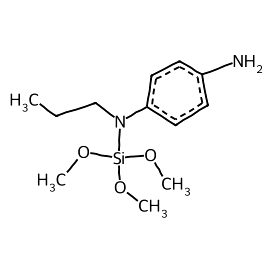 CCCN(c1ccc(N)cc1)[Si](OC)(OC)OC